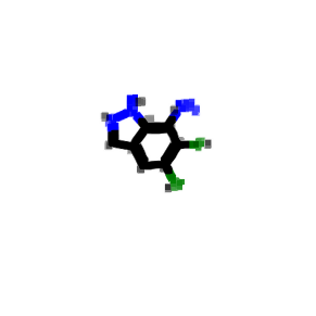 Nc1c(F)c(Br)cc2cn[nH]c12